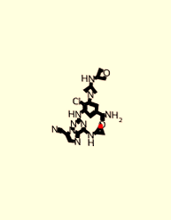 N#Cc1cnc2c(NC3CC3)nc(Nc3cc(C(N)=O)cc(N4CC(NC5COC5)C4)c3Cl)nn12